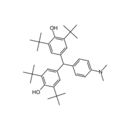 CN(C)c1ccc(C(c2cc(C(C)(C)C)c(O)c(C(C)(C)C)c2)c2cc(C(C)(C)C)c(O)c(C(C)(C)C)c2)cc1